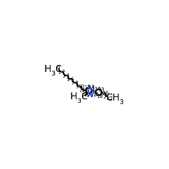 CCCCCCCCCCCCc1cnc([C@H]2CC[C@H](CCC)CC2)nc1C